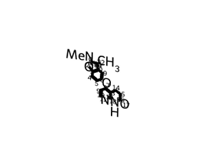 CN[C@@H]1Oc2ccc(Oc3ccnc4c3CCC(=O)N4)cc2[C@@H]1C